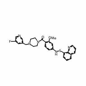 COc1cc(NSc2cccc3cccnc23)ccc1C(=O)N1CCN(Cc2cncc(F)c2)CC1